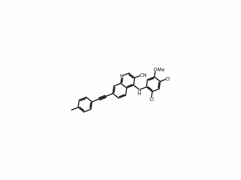 COc1cc(Nc2c(C#N)cnc3cc(C#Cc4ccc(C)cc4)ccc23)c(Cl)cc1Cl